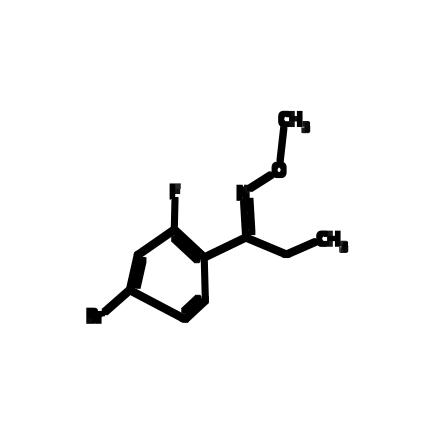 CCC(=NOC)c1ccc(Br)cc1F